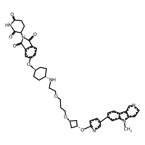 Cn1c2ccncc2c2ccc(-c3ccc(O[C@H]4C[C@H](OCCCOCCN[C@H]5CC[C@H](Oc6ccc7c(c6)C(=O)N(C6CCC(=O)NC6=O)C7=O)CC5)C4)nc3)cc21